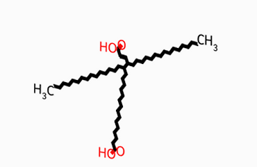 CCCCCCCCCCCCCCCCC(C=CC(=O)O)C(CCCCCCCCCCCCCCCC)CCCCCCCCCCCCCCC(=O)O